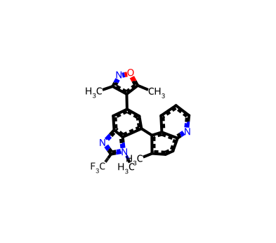 Cc1ccc2ncccc2c1-c1cc(-c2c(C)noc2C)cc2nc(C(F)(F)F)n(C)c12